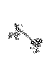 Cc1ncsc1-c1ccc(CNC(=O)[C@@H]2C[C@@H](O)CN2C(=O)[C@@H](NC(=O)C2(F)CC2)C(C)(C)C)c(OCCOCCOCCOCCCc2ccc(CO[C@H](C)[C@H](CCC(N)=O)NC(=O)[C@@H]3Cc4cccc5c4N3C(=O)[C@@H](N)CC5)cc2)c1